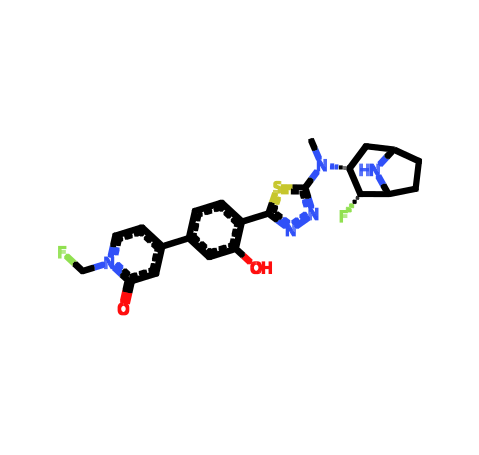 CN(c1nnc(-c2ccc(-c3ccn(CF)c(=O)c3)cc2O)s1)[C@@H]1CC2CCC(N2)[C@@H]1F